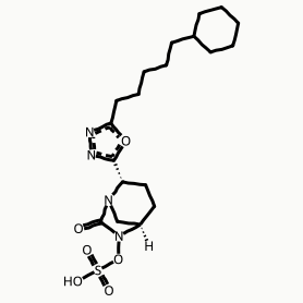 O=C1N2C[C@@H](CC[C@H]2c2nnc(CCCCCC3CCCCC3)o2)N1OS(=O)(=O)O